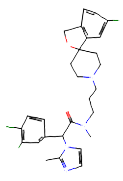 Cc1nccn1C(C(=O)N(C)CCCN1CCC2(CC1)OCc1ccc(F)cc12)c1ccc(F)c(F)c1